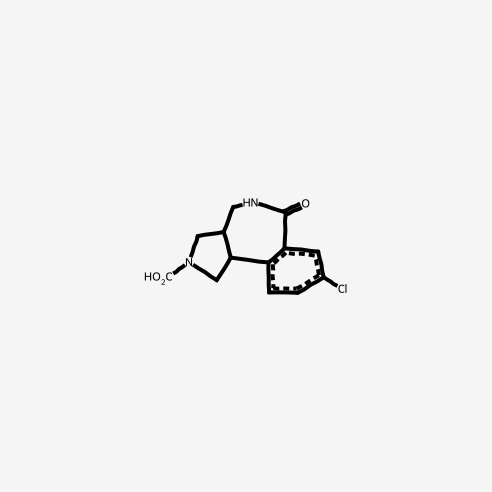 O=C1NCC2CN(C(=O)O)CC2c2ccc(Cl)cc21